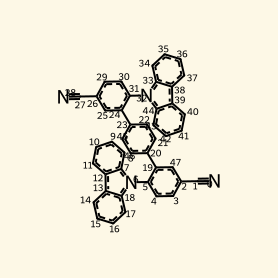 N#Cc1ccc(-n2c3ccccc3c3ccccc32)c(-c2ccc(-c3cc(C#N)ccc3-n3c4ccccc4c4ccccc43)cc2)c1